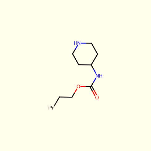 CC(C)CCOC(=O)NC1CCNCC1